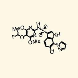 COc1nc(NS(=O)(=O)c2c[nH]c3c(-n4cccn4)c(Cl)ccc23)nc(OC)c1OC(F)F